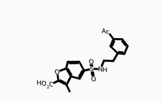 CC(=O)c1cccc(CCNS(=O)(=O)c2ccc3oc(C(=O)O)c(C)c3c2)c1